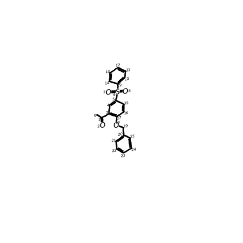 CC(=O)c1cc(S(=O)(=O)c2ccccc2)ccc1OCc1ccccc1